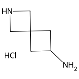 Cl.NC1CC2(CNC2)C1